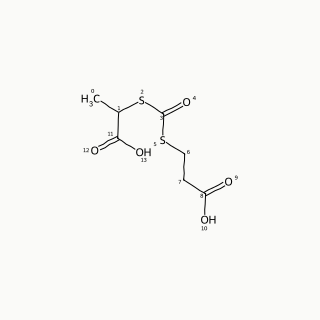 CC(SC(=O)SCCC(=O)O)C(=O)O